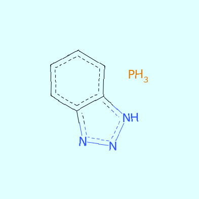 P.c1ccc2[nH]nnc2c1